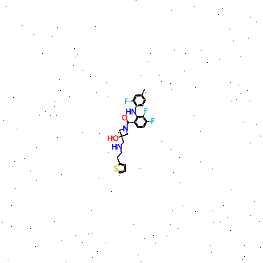 Cc1ccc(Nc2c(C(=O)N3CC(O)(CNCCc4cccs4)C3)ccc(F)c2F)c(F)c1